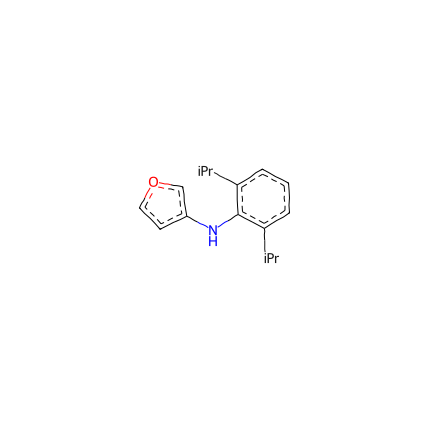 CC(C)c1cccc(C(C)C)c1Nc1ccoc1